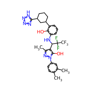 Cc1ccc(-n2nc(C)c(C(Nc3cccc(C4CCCC(c5nnn[nH]5)C4)c3O)C(F)(F)C(F)(F)F)c2O)cc1C